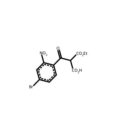 CCOC(=O)C(C(=O)O)C(=O)c1ccc(Br)cc1[N+](=O)[O-]